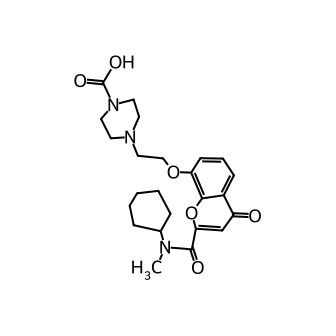 CN(C(=O)c1cc(=O)c2cccc(OCCN3CCN(C(=O)O)CC3)c2o1)C1CCCCC1